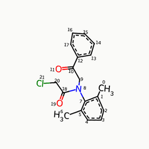 Cc1cccc(C)c1N(CC(=O)c1ccccc1)C(=O)CCl